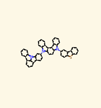 c1ccc2c(c1)sc1ccc(-n3c4ccccc4c4c5c6ccccc6n(-c6ccc7c8cccc9c%10ccccc%10n(c7c6)c98)c5ccc43)cc12